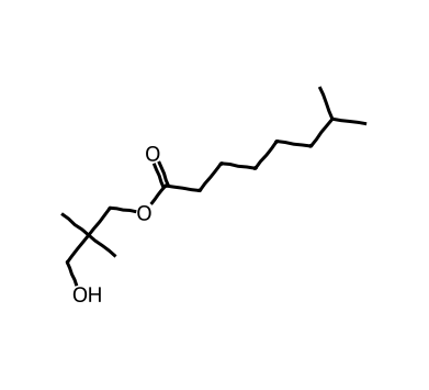 CC(C)CCCCCC(=O)OCC(C)(C)CO